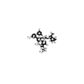 Cn1nc(NS(C)(=O)=O)c2c(Cl)ccc(-n3c([C@H](Cc4cc(F)cc(F)c4)NC(=O)Cn4nc(C(F)F)c5c4C(F)(F)[C@@H]4C[C@H]54)nc(-c4cccc(C(F)(F)F)n4)cc3=O)c21